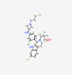 C[C@@H]1Cc2c([nH]c3cc(F)ccc23)[C@@H](c2c(F)cc(NC3CN(CCCF)C3)cc2F)N1CC(C)(F)CO